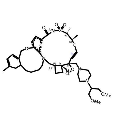 CCO[C@@]1(CN2CCN(C(COC)COC)CC2)/C=C/C[C@H](C)[C@@H](C)S(=O)(=O)NC(=O)c2ccc3c(c2)N(CCCCC2CC(Cl)=CC=C2CO3)C[C@@H]2CC[C@H]21